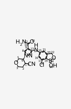 N#CC1CCOCC1n1cc(C(N)=O)c(Nc2cc(Cl)c3c(c2)COB3O)n1